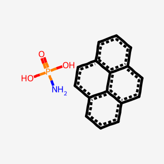 NP(=O)(O)O.c1cc2ccc3cccc4ccc(c1)c2c34